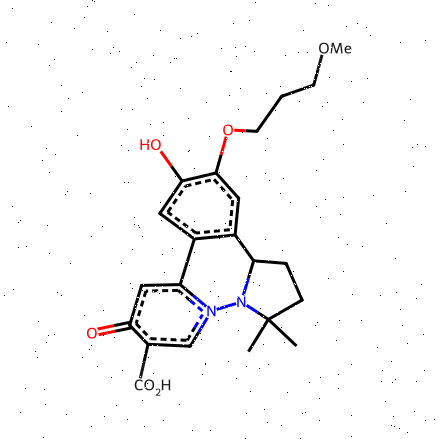 COCCCOc1cc2c(cc1O)-c1cc(=O)c(C(=O)O)cn1N1C2CCC1(C)C